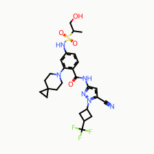 CC(CO)S(=O)(=O)Nc1ccc(C(=O)Nc2cc(C#N)n(C3CC(C(F)(F)F)C3)n2)c(N2CCC3(CC2)CC3)c1